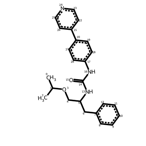 CC(C)OCC(Cc1ccccc1)NC(=O)Nc1ccc(-c2ccncc2)cc1